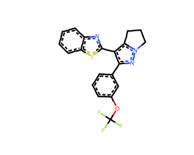 FC(F)(F)Oc1cccc(-c2nn3c(c2-c2nc4ccccc4s2)CCC3)c1